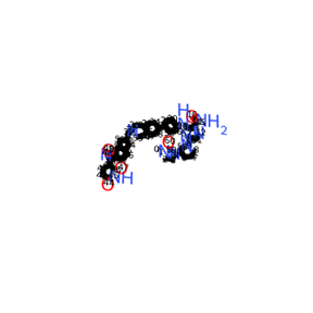 CN1CCN([C@@H]2CCCN(c3cnc(C(N)=O)c(Nc4ccc(C5CCC6(CC5)CCN(CC5Cc7ccc8c(C9CCC(=O)NC9=O)noc8c7C5)CC6)cc4)n3)C2)C1=O